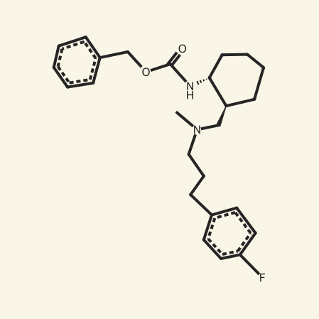 CN(CCCc1ccc(F)cc1)C[C@@H]1CCCC[C@H]1NC(=O)OCc1ccccc1